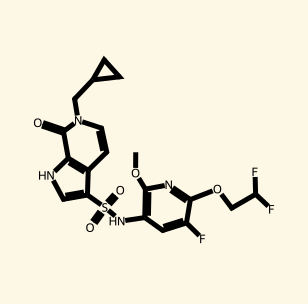 COc1nc(OCC(F)F)c(F)cc1NS(=O)(=O)c1c[nH]c2c(=O)n(CC3CC3)ccc12